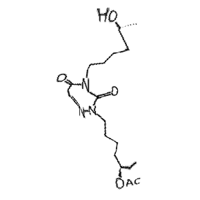 CC(=O)O[C@H](C)CCCCn1ncc(=O)n(CCCC[C@@H](C)O)c1=O